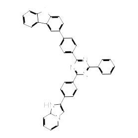 C1=CC2NC(c3ccc(-c4nc(-c5ccccc5)nc(-c5ccc(-c6ccc7oc8ccccc8c7c6)cc5)n4)cc3)=CN2C=C1